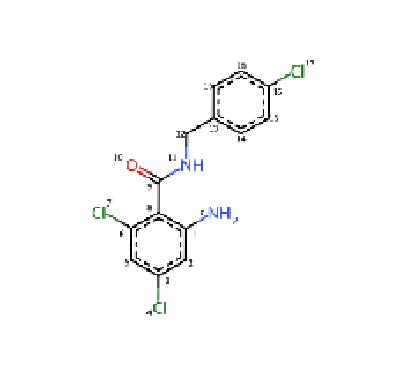 Nc1cc(Cl)cc(Cl)c1C(=O)NCc1ccc(Cl)cc1